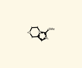 CSc1ncc2n1CCOC2